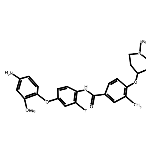 CCCCN1CCC(Oc2ccc(C(=O)Nc3ccc(Oc4ccc(N)cc4OC)cc3F)cc2C)CC1